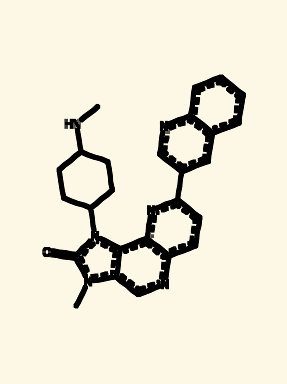 CNC1CCC(n2c(=O)n(C)c3cnc4ccc(-c5cnc6ccccc6c5)nc4c32)CC1